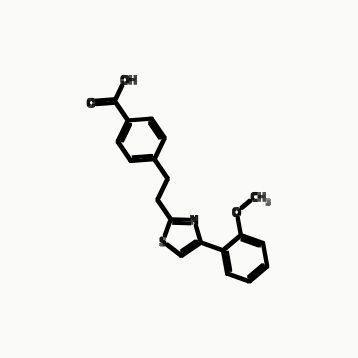 COc1ccccc1-c1csc(CCc2ccc(C(=O)O)cc2)n1